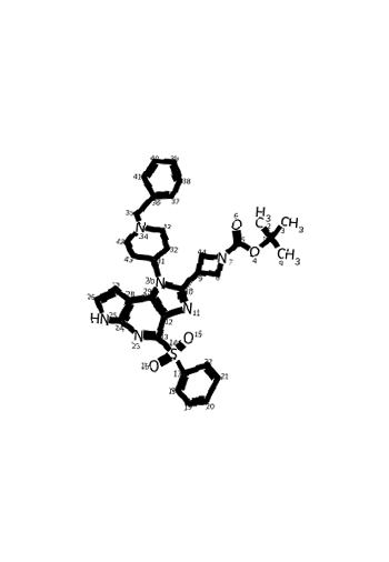 CC(C)(C)OC(=O)N1CC(c2nc3c(S(=O)(=O)c4ccccc4)nc4[nH]ccc4c3n2C2CCN(Cc3ccccc3)CC2)C1